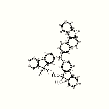 CC1(C)c2ccccc2-c2ccc(N(c3ccc4c(c3)C(C)(C)c3ccccc3-4)c3ccc4c(ccc5sc6ccccc6c54)c3)cc21